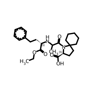 CCOC(=O)[C@H](CCc1ccccc1)NC(C)C(=O)N1[C@H](C(=O)O)CCC12CCCCC2